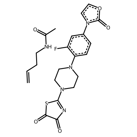 C=CCCNC(C)=O.O=C1N=C(N2CCN(c3ccc(-n4ccoc4=O)cc3F)CC2)SC1=O